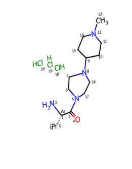 CC(C)[C@H](N)C(=O)N1CCN(C2CCN(C)CC2)CC1.Cl.Cl.Cl